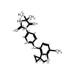 Cc1ccc(Oc2ccc(N3C(=O)NC(C)(C)C3=O)cn2)c2c1OCC21CC1